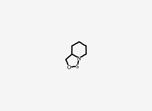 C1CCN2SOCC2C1